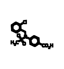 CS(=O)(=O)N(Cc1ccccc1Cl)c1ccc(C(=O)O)cc1